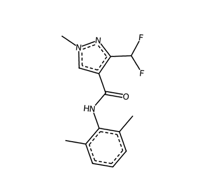 Cc1cccc(C)c1NC(=O)c1cn(C)nc1C(F)F